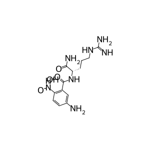 N=C(N)NCCC[C@H](NC(=O)c1cc(N)ccc1[NH+]([O-])O)C(N)=O